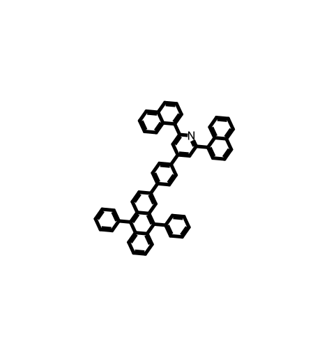 c1ccc(-c2c3ccccc3c(-c3ccccc3)c3cc(-c4ccc(-c5cc(-c6cccc7ccccc67)nc(-c6cccc7ccccc67)c5)cc4)ccc23)cc1